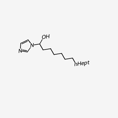 CCCCCCCCCCCCCC(O)n1ccnc1